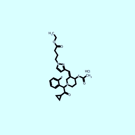 CCOC(=O)CCCn1ccc(/C=C2\CN(C(C(=O)C3CC3)c3ccccc3F)CCC2SC(C)=O)n1.Cl